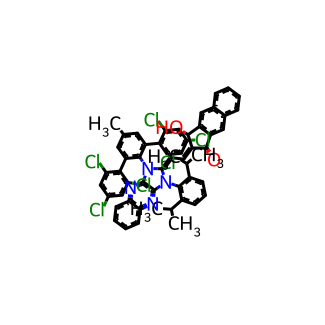 Cc1cc(-c2c(Cl)cc(Cl)cc2Cl)c(N2/C(=C/C=C3/C(=O)c4cc5ccccc5cc4C3O)N(c3c(C(C)C)cccc3C(C)C)c3nc4ccccc4nc32)c(-c2c(Cl)cc(Cl)cc2Cl)c1